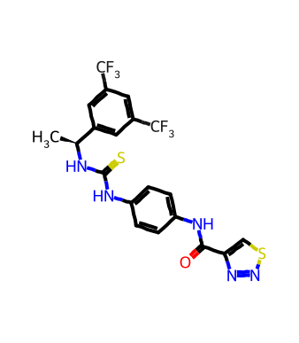 C[C@H](NC(=S)Nc1ccc(NC(=O)c2csnn2)cc1)c1cc(C(F)(F)F)cc(C(F)(F)F)c1